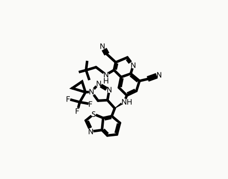 CC(C)(C)CNc1c(C#N)cnc2c(C#N)cc(N[C@@H](c3cccc4ncsc34)C3CN(C4(C(F)(F)F)CC4)N=N3)cc12